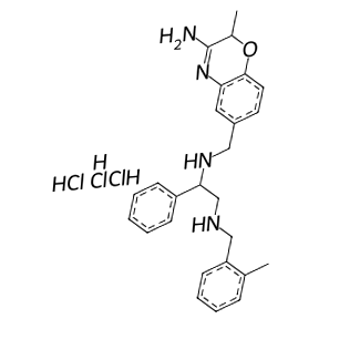 Cc1ccccc1CNCC(NCc1ccc2c(c1)N=C(N)C(C)O2)c1ccccc1.Cl.Cl.Cl